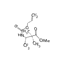 C=CCOC(=O)NC(C(F)(F)F)C(C)(C)C(=O)OC